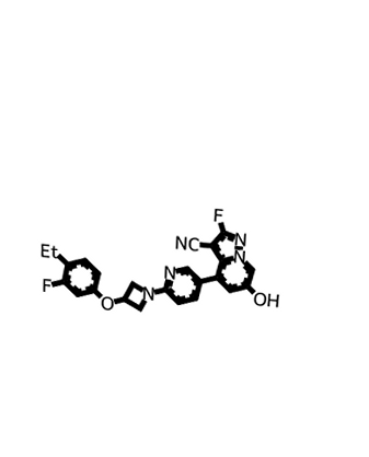 CCc1ccc(OC2CN(c3ccc(-c4cc(O)cn5nc(F)c(C#N)c45)cn3)C2)cc1F